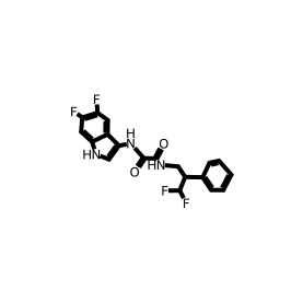 O=C(NCC(c1ccccc1)C(F)F)C(=O)Nc1c[nH]c2cc(F)c(F)cc12